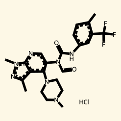 Cc1ccc(NC(=O)N(C=O)c2cnc3c(c(C)nn3C)c2N2CCN(C)CC2)cc1C(F)(F)F.Cl